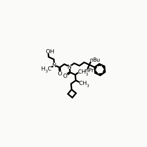 CCCCC(CCC)(CCCN(CC(=O)N(C)CCO)C(=O)C(C)C(C)CC1CCC1)c1ccccc1